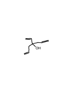 C=CCC(O)(C=C)CC=C